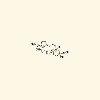 C#C[C@]1(O)CC[C@]2(C)C3CC[C@@]4(C)C(CC[C@@H]4[C@@H](C)O)C3CC[C@@H]2C1